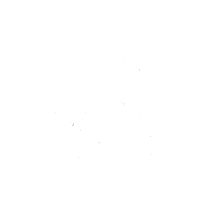 O=C(O)CCN1c2ccccc2Sc2ccccc21.O=C1CCC(=O)N1